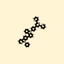 c1ccc(-n2c3cc(-c4cccc5c4c4ccccc4n5-c4ccc(-c5cc(-c6ccccn6)nc(-c6ccccn6)c5)cc4)ccc3c3cccnc32)cc1